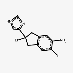 CCC1(c2c[nH]cn2)Cc2cc(N)c(F)cc2C1